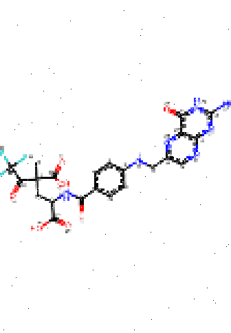 CC(CC(NC(=O)c1ccc(NCc2cnc3nc(N)[nH]c(=O)c3n2)cc1)C(=O)O)(C(=O)O)C(=O)C(F)(F)F